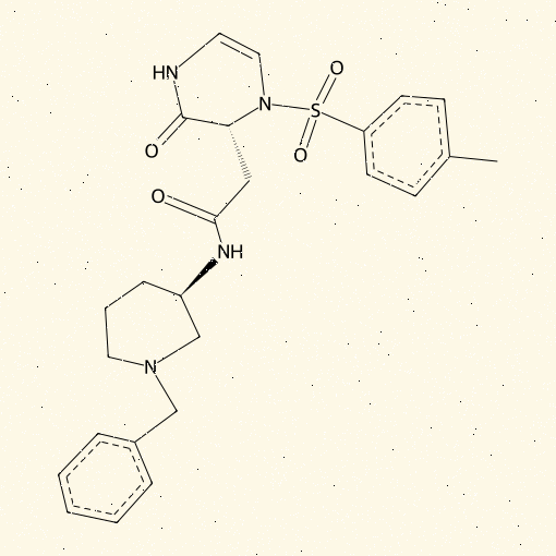 Cc1ccc(S(=O)(=O)N2C=CNC(=O)[C@H]2CC(=O)N[C@@H]2CCCN(Cc3ccccc3)C2)cc1